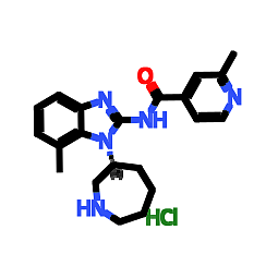 Cc1cc(C(=O)Nc2nc3cccc(C)c3n2[C@@H]2CCCCNC2)ccn1.Cl